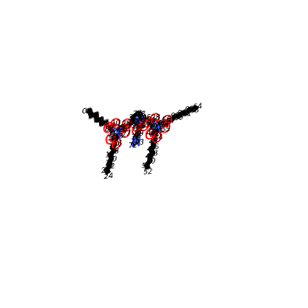 CCCCCCCCOC(=O)CN(CC(=O)OCCCCCCCC)CC(=O)OC[C@H]1CCC[C@@H](COC(=O)CN(CC(=O)OCCCCCCCC)CC(=O)OCCCCCCCC)N1C(=O)OCCN(C)C